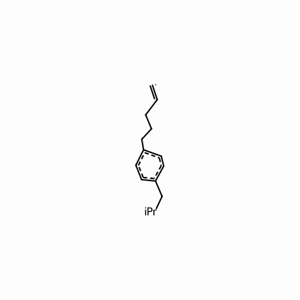 [CH]=CCCCc1ccc(CC(C)C)cc1